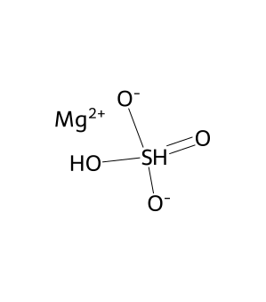 O=[SH]([O-])([O-])O.[Mg+2]